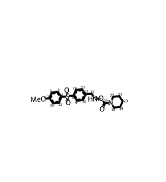 COc1ccc(S(=O)(=O)c2ccc(CNOC(=O)N3CCCCC3)cc2)cc1